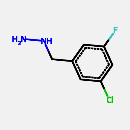 NNCc1cc(F)cc(Cl)c1